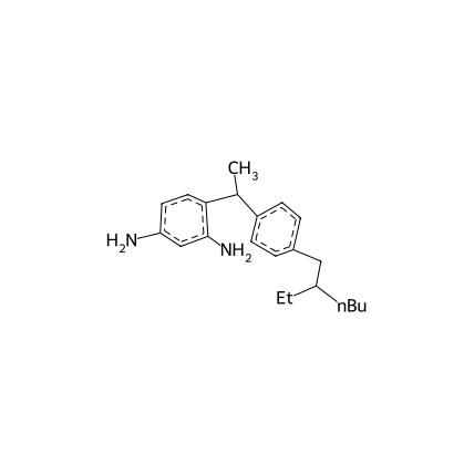 CCCCC(CC)Cc1ccc(C(C)c2ccc(N)cc2N)cc1